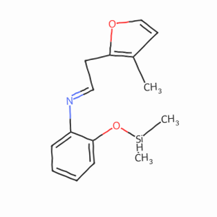 Cc1ccoc1CC=Nc1ccccc1O[SiH](C)C